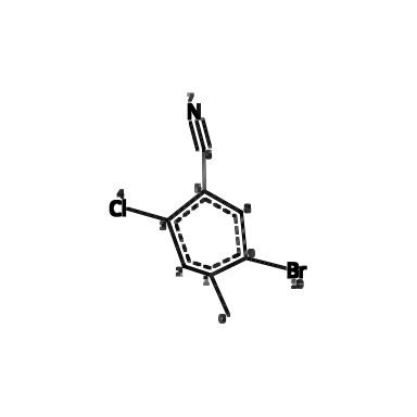 Cc1cc(Cl)c(C#N)cc1Br